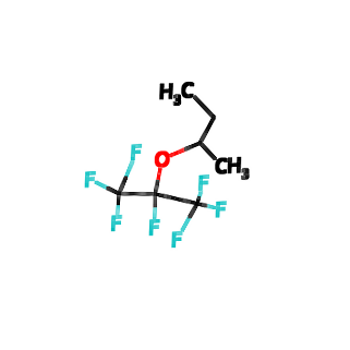 CCC(C)OC(F)(C(F)(F)F)C(F)(F)F